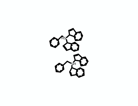 C1=CC([SiH](Cc2ccccc2)C2C=Cc3ccccc32)c2ccccc21.C1=CC([SiH](Cc2ccccc2)C2C=Cc3ccccc32)c2ccccc21